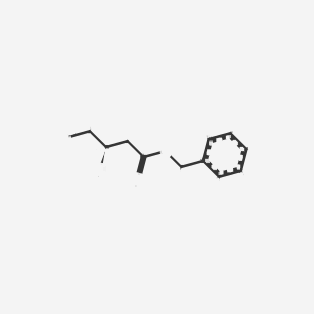 O=C(C[C@@H](O)CCl)OCc1ccccc1